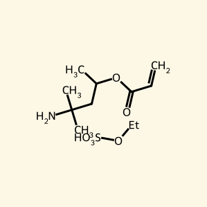 C=CC(=O)OC(C)CC(C)(C)N.CCOS(=O)(=O)O